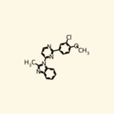 COc1ccc(-c2nccc(-n3c(C)nc4ccccc43)n2)cc1Cl